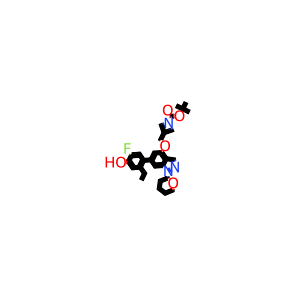 CCc1cc(O)c(F)cc1-c1cc(OCC2CN(C(=O)OC(C)(C)C)C2)c2cnn(C3CCCCO3)c2c1